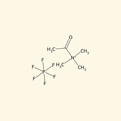 CC(=O)[N+](C)(C)C.F[P-](F)(F)(F)(F)F